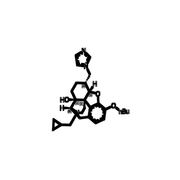 CCCCOc1ccc2c3c1O[C@H]1[C@@H](Cn4ccnc4)CC[C@@]4(O)[C@@H](C2)N(CC2CC2)CC[C@]314